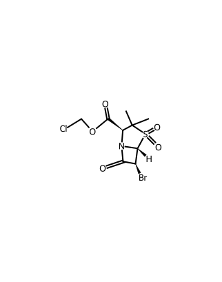 CC1(C)[C@H](C(=O)OCCl)N2C(=O)[C@H](Br)[C@H]2S1(=O)=O